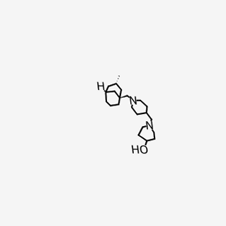 C[C@H]1C[C@H]2CCC[C@@](CN3CCC(CN4CCC(O)CC4)CC3)(C1)C2